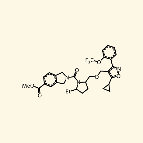 CCC1CCC(COCc2c(-c3ccccc3OC(F)(F)F)noc2C2CC2)N1C(=O)N1Cc2ccc(C(=O)OC)cc2C1